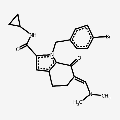 CN(C)C=C1CCc2cc(C(=O)NC3CC3)n(Cc3ccc(Br)cc3)c2C1=O